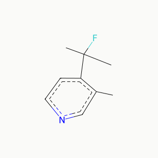 Cc1cnccc1C(C)(C)F